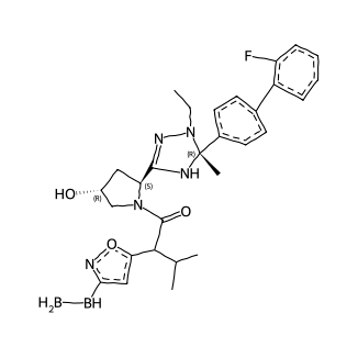 BBc1cc(C(C(=O)N2C[C@H](O)C[C@H]2C2=NN(CC)[C@](C)(c3ccc(-c4ccccc4F)cc3)N2)C(C)C)on1